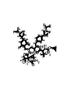 CC(C)(C(NC(=O)OC1CC1)C(=O)NC(Cc1ccc(-c2cnn(C(F)F)c2)cc1)C(O)CN(Cc1c(F)cc(-c2cnn(C(F)F)c2)cc1F)NC(=O)[C@](OC(N)=O)(C1CC1)C(C)(C)C(F)(F)F)C(F)(F)F